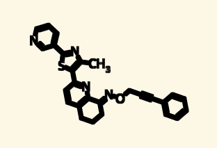 Cc1nc(-c2cccnc2)sc1-c1ccc2c(n1)/C(=N/OCC#Cc1ccccc1)CCC2